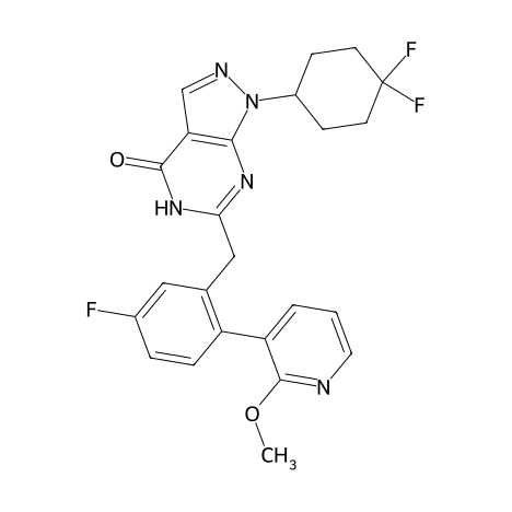 COc1ncccc1-c1ccc(F)cc1Cc1nc2c(cnn2C2CCC(F)(F)CC2)c(=O)[nH]1